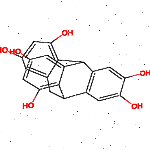 Oc1cc(O)c2c(c1)CC1c3cc(O)c(O)cc3C2c2cc(O)cc(O)c21